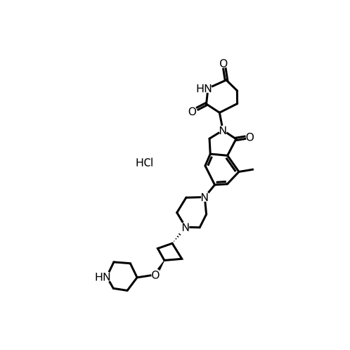 Cc1cc(N2CCN([C@H]3C[C@H](OC4CCNCC4)C3)CC2)cc2c1C(=O)N(C1CCC(=O)NC1=O)C2.Cl